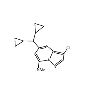 CNc1cc(C(C2CC2)C2CC2)nc2c(Cl)cnn12